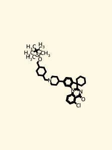 CC(C)(C)[Si](C)(C)OCC1CCC(CN2CCC(c3ccc4c(c3)-n3c(nc(=O)c5c(Cl)cccc53)C43CCCCC3)CC2)CC1